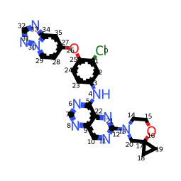 Clc1cc(Nc2ncnc3cnc(N4CCOC5(CC5)C4)nc23)ccc1Oc1ccn2ncnc2c1